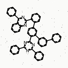 c1ccc(-c2cccc(-c3cc(-c4ccccc4-c4nc(-c5ccccc5)c5ccccc5n4)ccc3-c3nc(-c4ccccc4)nc(-c4ccccc4)n3)c2)cc1